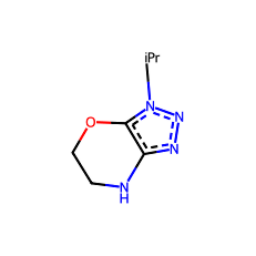 CC(C)n1nnc2c1OCCN2